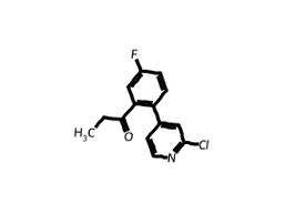 CCC(=O)c1cc(F)ccc1-c1ccnc(Cl)c1